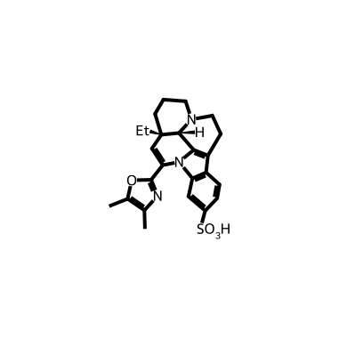 CC[C@@]12C=C(c3nc(C)c(C)o3)n3c4c(c5ccc(S(=O)(=O)O)cc53)CCN(CCC1)[C@H]42